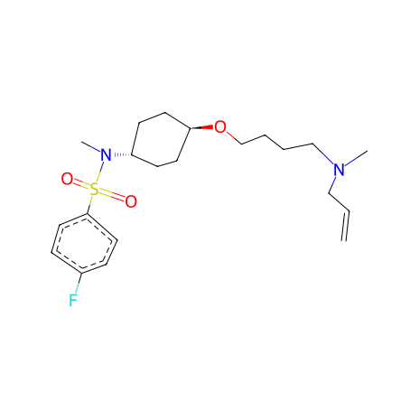 C=CCN(C)CCCCO[C@H]1CC[C@H](N(C)S(=O)(=O)c2ccc(F)cc2)CC1